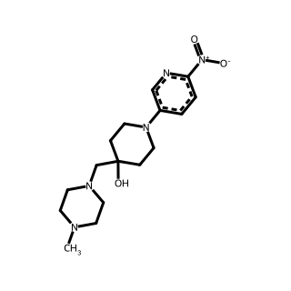 CN1CCN(CC2(O)CCN(c3ccc([N+](=O)[O-])nc3)CC2)CC1